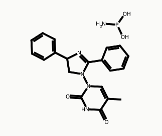 Cc1cn(N2CC(c3ccccc3)N=C2c2ccccc2)c(=O)[nH]c1=O.NP(O)O